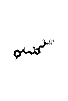 Cn1c(/C=C/CC(=O)c2cccc(F)c2)ccc1/C=C/C(=O)NO